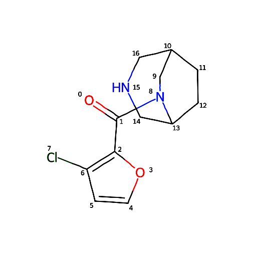 O=C(c1occc1Cl)N1CC2CCC1CNC2